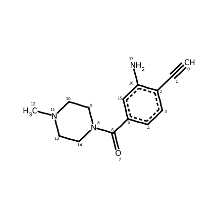 C#Cc1ccc(C(=O)N2CCN(C)CC2)cc1N